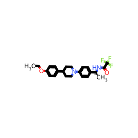 CCOc1ccc(C2CCN(c3ccc([C@H](C)NC(=O)C(F)(F)F)cc3)CC2)cc1